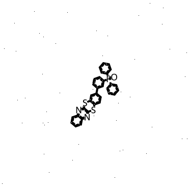 O=P(c1ccccc1)(c1ccccc1)c1cccc(-c2ccc3c(c2)Sc2nc4ccccc4nc2S3)c1